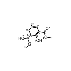 COC(=O)C1=C(O)[C@@H](C(O)OC)CN=C1